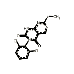 CSc1ncc2c(=O)n(-c3c(Cl)cccc3Cl)c(=O)[nH]c2n1